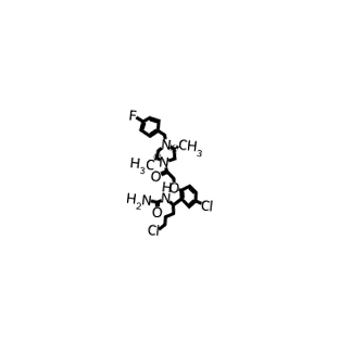 C[C@@H]1CN(Cc2ccc(F)cc2)[C@@H](C)CN1C(=O)COc1ccc(Cl)cc1C(CCCCl)NC(N)=O